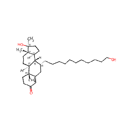 C[C@]12CCC(=O)C=C1C[C@@H](CCCCCCCCCCCO)[C@@H]1[C@@H]2CC[C@@]2(C)[C@H]1CC[C@]2(C)O